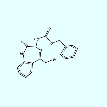 CC(C)CC1=NC(NC(=O)OCc2ccccc2)C(=O)Nc2ccccc21